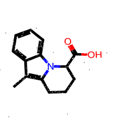 Cc1c2n(c3ccccc13)C(C(=O)O)CCC2